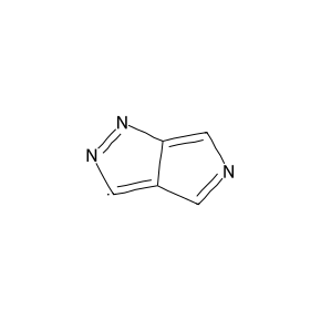 [C]1=C2C=NC=C2N=N1